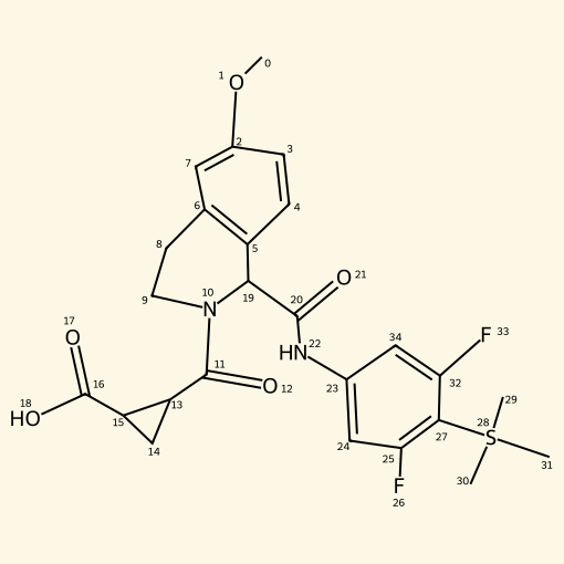 COc1ccc2c(c1)CCN(C(=O)C1CC1C(=O)O)C2C(=O)Nc1cc(F)c(S(C)(C)C)c(F)c1